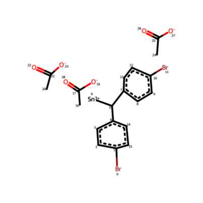 Brc1ccc([CH]([Sn+3])c2ccc(Br)cc2)cc1.CC(=O)[O-].CC(=O)[O-].CC(=O)[O-]